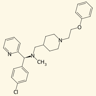 CN(CC1CCN(CCOc2ccccc2)CC1)[C@@H](c1ccc(Cl)cc1)c1ccccn1